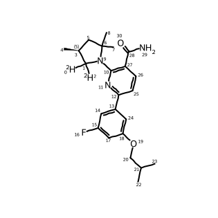 [2H]C1([2H])[C@@H](C)CC(C)(C)N1c1nc(-c2cc(F)cc(OCC(C)C)c2)ccc1C(N)=O